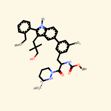 CCn1c(-c2ccccc2COC)c(CC(C)(C)CO)c2cc(-c3cc(CC(NC(=O)OC(C)(C)C)C(=O)N4CCC[C@@H](C(=O)O)N4)cc([N+](=O)[O-])c3)ccc21